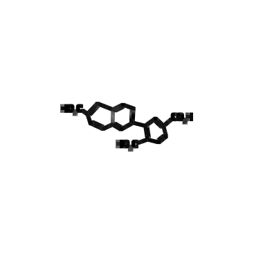 O=C(O)c1ccc(C(=O)O)c(-c2ccc3cc(C(=O)O)ccc3c2)c1